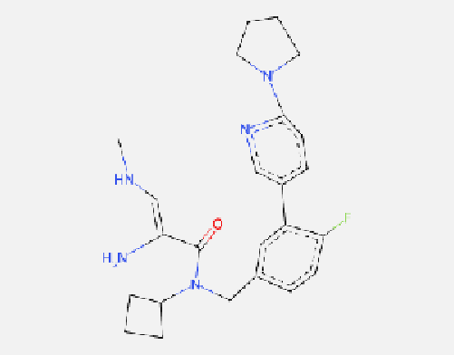 CN/C=C(\N)C(=O)N(Cc1ccc(F)c(-c2ccc(N3CCCC3)nc2)c1)C1CCC1